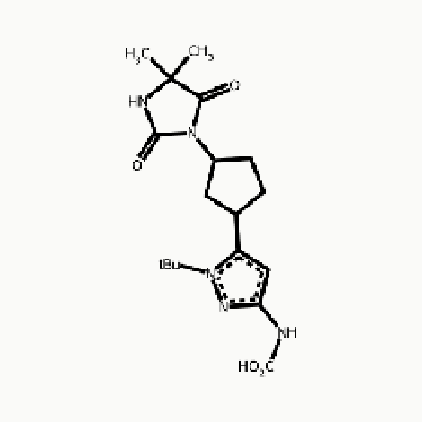 CC1(C)NC(=O)N(C2CCC(c3cc(NC(=O)O)nn3C(C)(C)C)C2)C1=O